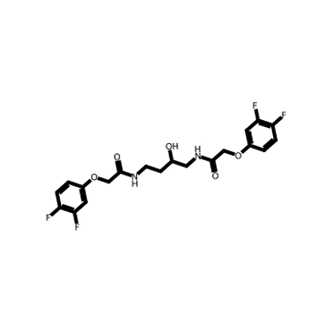 O=C(COc1ccc(F)c(F)c1)NCCC(O)CNC(=O)COc1ccc(F)c(F)c1